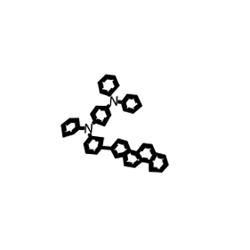 c1ccc(N(c2ccccc2)c2ccc(N(c3ccccc3)c3cccc(-c4ccc5c(ccc6c7ccccc7ccc56)c4)c3)cc2)cc1